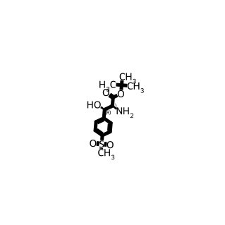 CC(C)(C)OC(=O)[C@@H](N)[C@H](O)c1ccc(S(C)(=O)=O)cc1